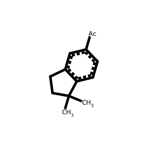 CC(=O)c1ccc2c(c1)CCC2(C)C